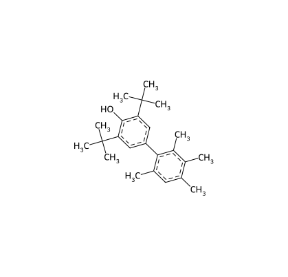 Cc1cc(C)c(-c2cc(C(C)(C)C)c(O)c(C(C)(C)C)c2)c(C)c1C